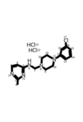 Cc1nccc(NCN2CCN(c3cccc(Cl)c3)CC2)n1.Cl.Cl